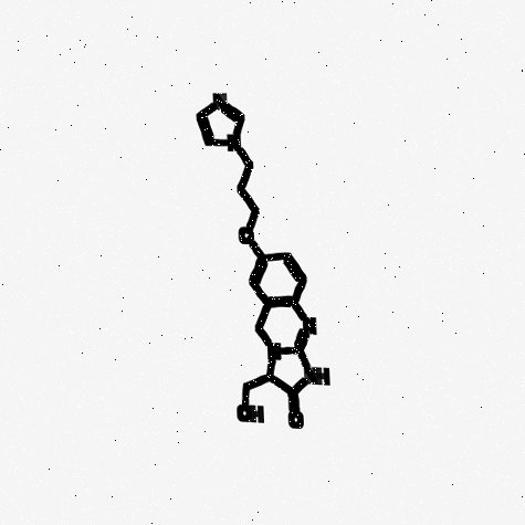 O=C1NC2=Nc3ccc(OCCCn4ccnc4)cc3CN2C1CO